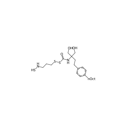 CCCCCCCCc1ccc(CCC(CO)(CO)NC(=O)SSCCCNS)cc1